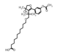 CC(=O)Oc1cccc(C2=C(C(C)(C)COCCCCCCCCCCC(=O)O)C(C)(C)CO2)c1